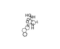 O=C(NO)[C@H]1CC2(CC2)CN[C@@H]1C(=O)N1CCC2=C(CCc3ccccc32)C1